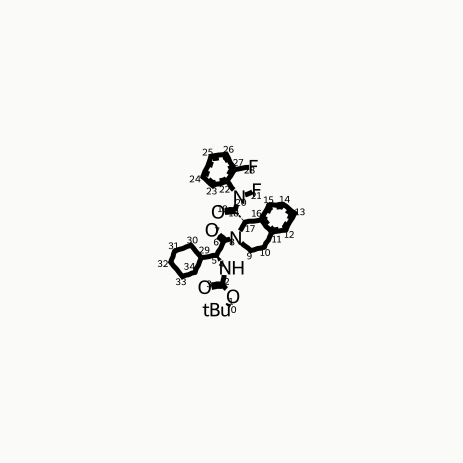 CC(C)(C)OC(=O)N[C@H](C(=O)N1CCc2ccccc2[C@H]1C(=O)N(F)c1ccccc1F)C1CCCCC1